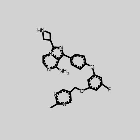 Cc1ncc(COc2cc(F)cc(Oc3ccc(-c4nc(C5CNC5)n5ccnc(N)c45)cc3)c2)cn1